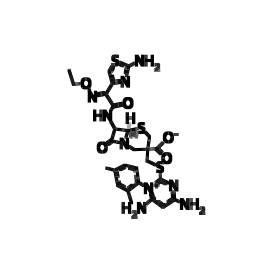 CCON=C(C(=O)NC1C(=O)N2CC(CSc3nc(N)cc(N)[n+]3-c3ccc(C)cc3C)(C(=O)[O-])CS[C@H]12)c1csc(N)n1